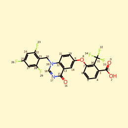 O=C(O)c1cccc(Oc2ccc3c(c2)c(=O)ncn3Cc2c(F)cc(F)cc2F)c1C(F)(F)F